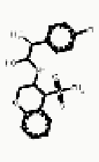 C[C@@H](c1ccc(Cl)cc1)C(O)NC1COc2ccccc2C1S(C)(=O)=O